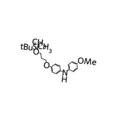 COc1ccc(Nc2ccc(OCCCO[Si](C)(C)C(C)(C)C)cc2)cc1